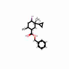 CC(C)C1CC(I)[C@](C)(C2CC2)CC1C(=O)OCc1ccccc1